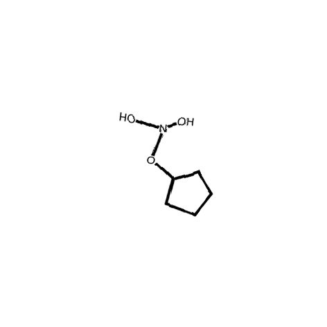 ON(O)OC1CCCC1